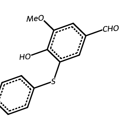 COc1cc(C=O)cc(Sc2ccccc2)c1O